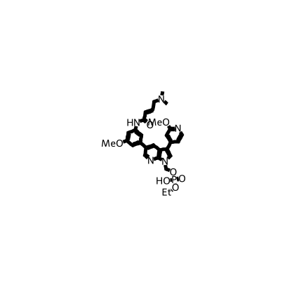 CCOP(=O)(O)OCn1cc(-c2ccnc(OC)c2)c2cc(-c3cc(NC(=O)C=CCN(C)C)cc(OC)c3)cnc21